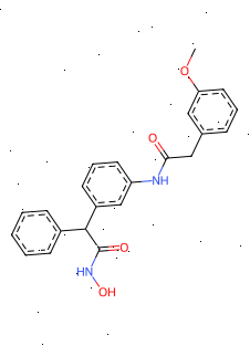 COc1cccc(CC(=O)Nc2cccc(C(C(=O)NO)c3ccccc3)c2)c1